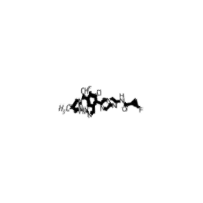 Cc1cnn(C(C)c2c(F)c(Cl)c(-c3cn4cc(NC(=O)C5CC5F)nc4cn3)c3cn[nH]c23)c1